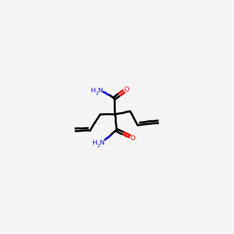 C=CCC(CC=C)(C(N)=O)C(N)=O